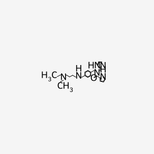 CCCN(CCC)CCCCNCc1ccc(CN(Cc2ncc[nH]2)C(=O)c2ccc[nH]2)cc1